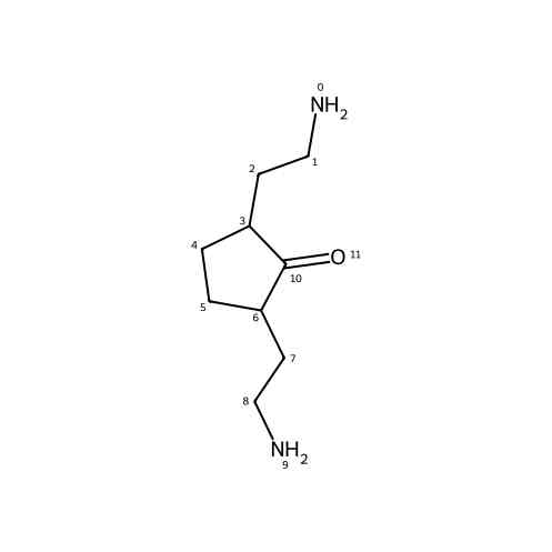 NCCC1CCC(CCN)C1=O